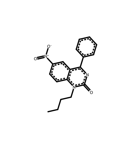 CCCCn1c(=O)nc(-c2ccccc2)c2cc([N+](=O)[O-])ccc21